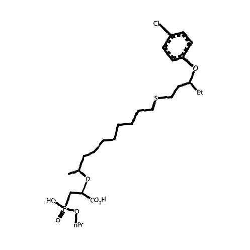 CCCOP(=O)(O)CC(OC(C)CCCCCCCCSCCC(CC)Oc1ccc(Cl)cc1)C(=O)O